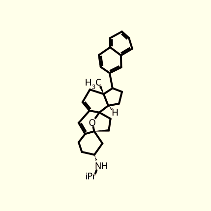 CC(C)N[C@@H]1CCC2=CC3=CC[C@]4(C)C(c5ccc6ccccc6c5)CC[C@H]4C34CC[C@]2(C1)O4